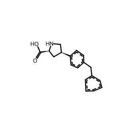 O=C(O)[C@@H]1C[C@H](c2ccc(Cc3ccccc3)cc2)CN1